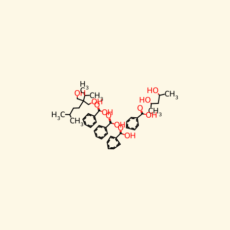 CC(C)CCC(CO)(CO)C(C)C.CC(O)CC(C)O.O=C(O)c1ccccc1.O=C(O)c1ccccc1.O=C(O)c1ccccc1.O=C(O)c1ccccc1